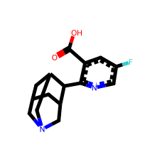 O=C(O)c1cc(F)cnc1C1C2CC3CC1CN(C3)C2